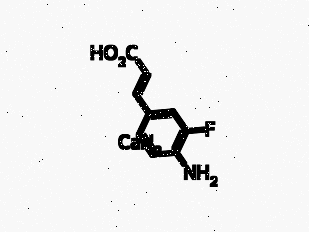 Nc1ccc(C=CC(=O)O)cc1F.[CaH2]